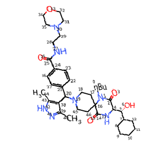 CCCCN1C(=O)[C@@H]([C@H](O)C2CCCCC2)NC(=O)C12CCN(C(c1ccc(C(=O)NCCN3CCOCC3)cc1)c1c(C)n[nH]c1C)CC2